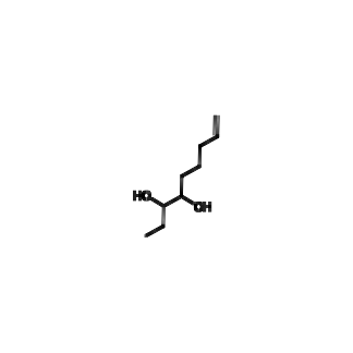 C=CCCCC(O)C(O)CC